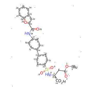 CC(C)(C)OC(=O)C[C@H](NS(=O)(=O)c1ccc(-c2ccc(NC(=O)c3cc4ccccc4o3)cc2)cc1)C(=O)O